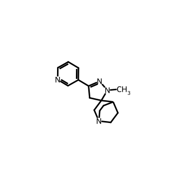 CN1N=C(c2cccnc2)CC12CN1CCC2CC1